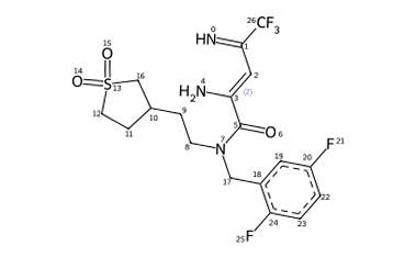 N=C(/C=C(\N)C(=O)N(CCC1CCS(=O)(=O)C1)Cc1cc(F)ccc1F)C(F)(F)F